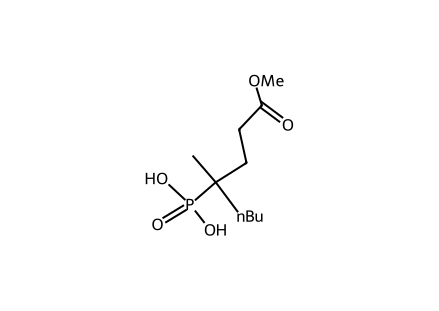 CCCCC(C)(CCC(=O)OC)P(=O)(O)O